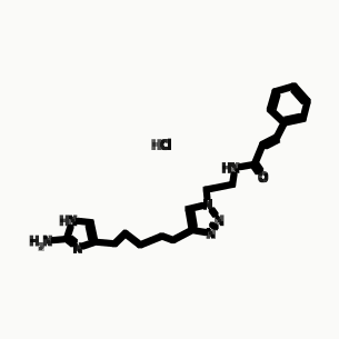 Cl.Nc1nc(CCCCCc2cn(CCNC(=O)/C=C/c3ccccc3)nn2)c[nH]1